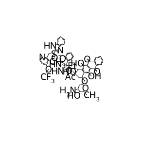 CC(=O)[C@]1(O)Cc2c(O)c3c(c(O)c2[C@@H](O[C@H]2C[C@H](N)[C@H](O)[C@H](C)O2)C1)C(=O)c1ccccc1C3=O.CCC1(c2ccccc2)C(=O)NCNC1=O.Cc1c(OCC(F)(F)F)ccnc1C[S+]([O-])c1nc2ccccc2[nH]1